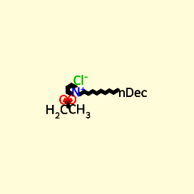 C=C(C)C(=O)Oc1cccc[n+]1CCCCCCCCCCCCCCCCCCCC.[Cl-]